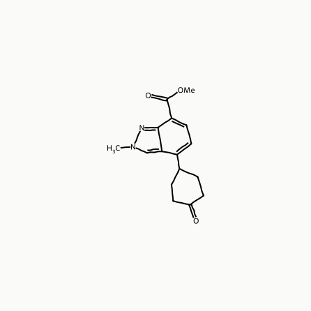 COC(=O)c1ccc(C2CCC(=O)CC2)c2cn(C)nc12